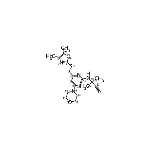 Cc1nc(SCc2cc(N3CCOCC3)cc(NC(C)(C)C#N)n2)oc1C